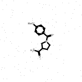 COc1ccc(C(=O)N2CCC(C(N)=O)C2)cc1